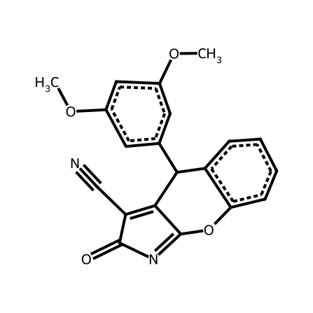 COc1cc(OC)cc(C2C3=C(C#N)C(=O)N=C3Oc3ccccc32)c1